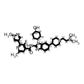 Cc1cc(C(=O)Nc2nc3ccc(C4CCN(CCN(C)C)CC4)cc3n2[C@H]2CC[C@@H](O)CC2)c(F)c(-c2cnn(C)c2)n1